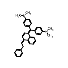 CN(C)c1ccc(C(c2ccc(N(C)C)cc2)=c2cc/c(=C/Cc3ccccc3)c3ccccc23)cc1